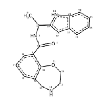 CC(NC(=O)c1cccc2c1OCCNC2)c1nc2ccccc2[nH]1